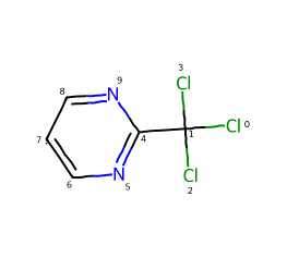 ClC(Cl)(Cl)c1nc[c]cn1